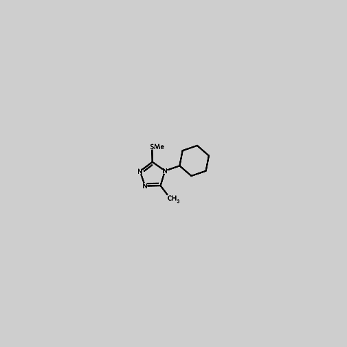 CSc1nnc(C)n1C1CCCCC1